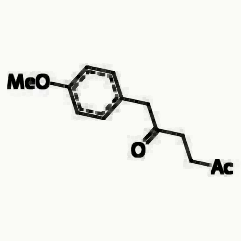 COc1ccc(CC(=O)CCC(C)=O)cc1